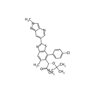 CC(=O)[C@@H](OC(C)(C)C)c1c(C)cc2nc(-c3cnc4cn(C)nc4c3)sc2c1-c1ccc(Cl)cc1